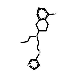 CCCN(CCOc1ccoc1)C1CCc2c(O)cccc2C1